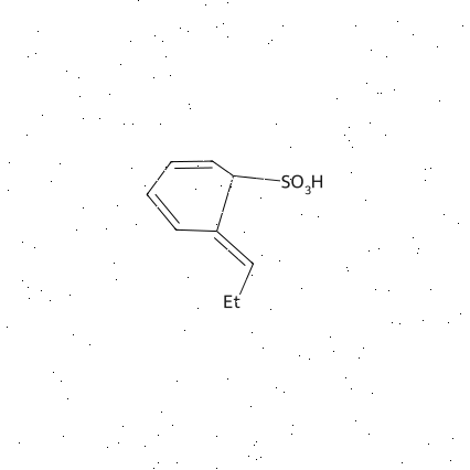 CCC=C1C=CC=CC1S(=O)(=O)O